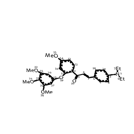 CCN(CC)c1ccc(/C=C/C(=O)c2ccc(OC)cc2Oc2cc(OC)c(OC)c(OC)c2)cc1